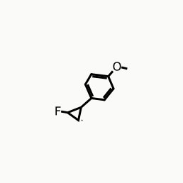 COc1ccc(C2[CH]C2F)cc1